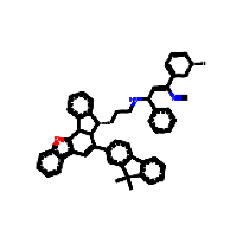 C=N/C(=C\C(NCCC[C@H]1c2ccccc2C2c3oc4ccccc4c3C=C(c3ccc4c(c3)C(C)(C)c3ccccc3-4)C21)c1ccccc1)C1=CC=C[C@H](C)C1